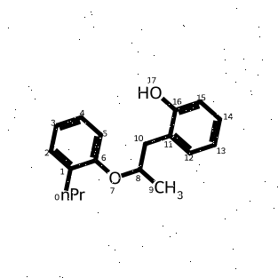 CCCc1ccccc1OC(C)Cc1ccccc1O